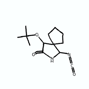 CC(C)(C)OC1C(=O)NC(N=C=O)C12CCCC2